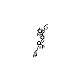 N#Cc1c(NCCCn2ccnc2)cccc1Oc1ccc(-c2cn(C3CCOCC3)c3ncnc(N)c23)cc1